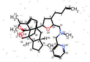 C=CCCC1CC(C23C[C@@H]4[C@H](C)CC[C@H]4C4(C=O)CC2C=C(C(C)C)C34C(=O)O)OC1CN(C)Cc1ccccn1